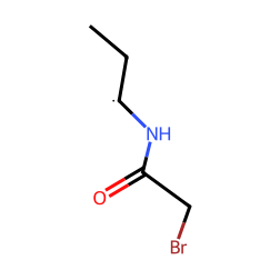 CC[CH]NC(=O)CBr